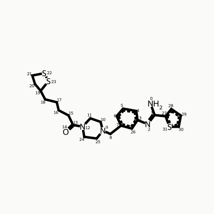 N/C(=N\c1cccc(CN2CCN(C(=O)CCCCC3CCSS3)CC2)c1)c1cccs1